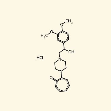 COc1ccc(C(O)CN2CCN(c3cccccc3=O)CC2)cc1OC.Cl